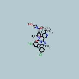 CCOc1cc(C(C)(C)C)ncc1C1=N[C@@](C)(c2ccc(Cl)cc2)[C@@](C)(c2ccc(Cl)cc2)N1C(=O)N1CC2C(C(=O)N3CC(O)C3)[C@H]2C1